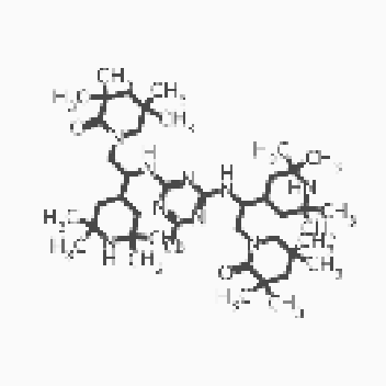 CC1(C)CN(CC(Nc2nc(Cl)nc(NC(CN3CC(C)(C)CC(C)(C)C3=O)C3CC(C)(C)NC(C)(C)C3)n2)C2CC(C)(C)NC(C)(C)C2)C(=O)C(C)(C)C1